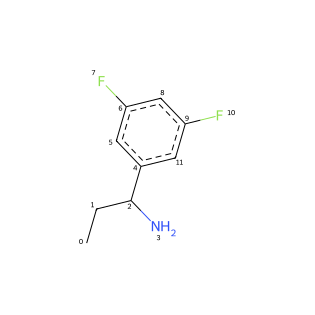 CCC(N)c1cc(F)cc(F)c1